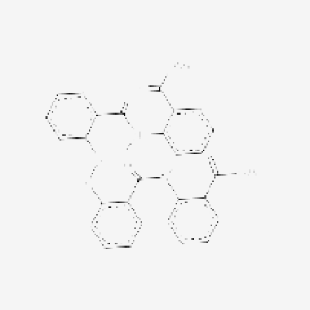 COC(=O)c1ccccc1N(C)C(=O)c1ccccc1[Se][Se]c1ccccc1C(=O)N(C)c1ccccc1C(=O)OC